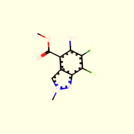 COC(=O)c1c(N)c(F)c(Br)c2nn(C)cc12